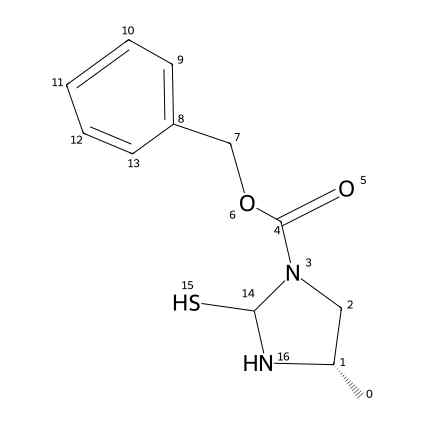 C[C@H]1CN(C(=O)OCc2ccccc2)C(S)N1